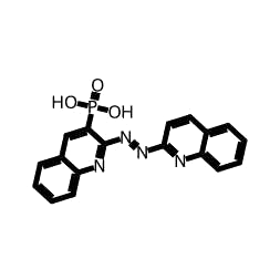 O=P(O)(O)c1cc2ccccc2nc1N=Nc1ccc2ccccc2n1